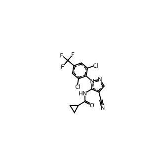 N#Cc1cnn(-c2c(Cl)cc(C(F)(F)F)cc2Cl)c1NC(=O)C1CC1